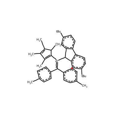 CC1=C(C)C(C)[C]([Zr](=[C](c2ccc(C)cc2)c2ccc(C)cc2)[CH]2c3cc(C(C)(C)C)ccc3-c3ccc(C(C)(C)C)cc32)=C1C